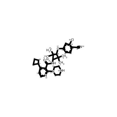 CC1(C)C(NC(=O)c2c(C3CCC3)ccnc2N2CCNCC2)C(C)(C)C1Oc1ccc(C#N)c(Cl)c1